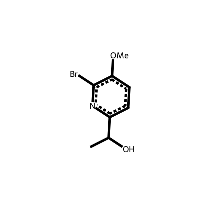 COc1ccc(C(C)O)nc1Br